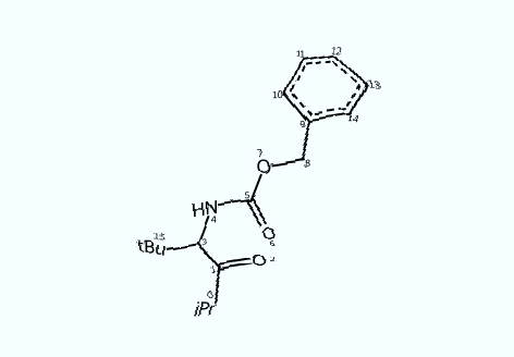 CC(C)C(=O)C(NC(=O)OCc1ccccc1)C(C)(C)C